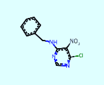 O=[N+]([O-])c1c(Cl)ncnc1NCc1ccccc1